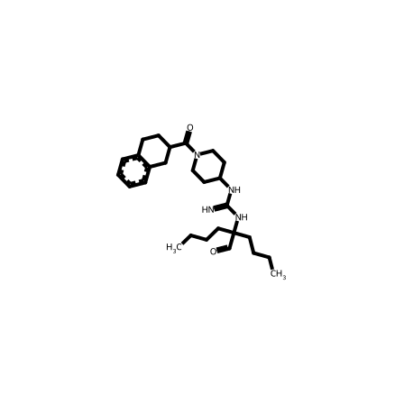 CCCCC(C=O)(CCCC)NC(=N)NC1CCN(C(=O)C2CCc3ccccc3C2)CC1